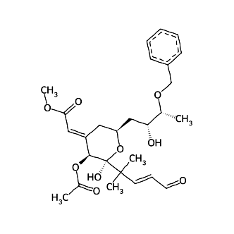 COC(=O)/C=C1\C[C@@H](C[C@@H](O)[C@@H](C)OCc2ccccc2)O[C@@](O)(C(C)(C)/C=C/C=O)[C@H]1OC(C)=O